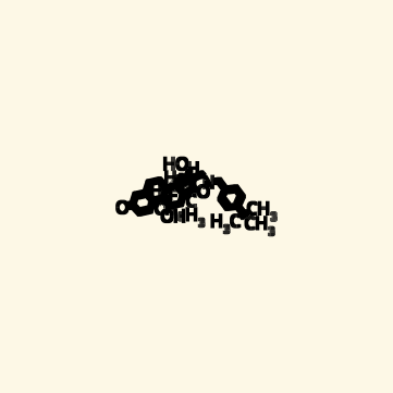 CC(C)(C)c1ccc(CN2C[C@@H]3C[C@H]4[C@@H]5CCC6=CC(=O)C=C[C@]6(C)[C@@]5(F)[C@@H](O)C[C@]4(C)[C@]3(C(=O)CO)O2)cc1